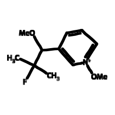 COC(c1ccc[n+](OC)c1)C(C)(C)F